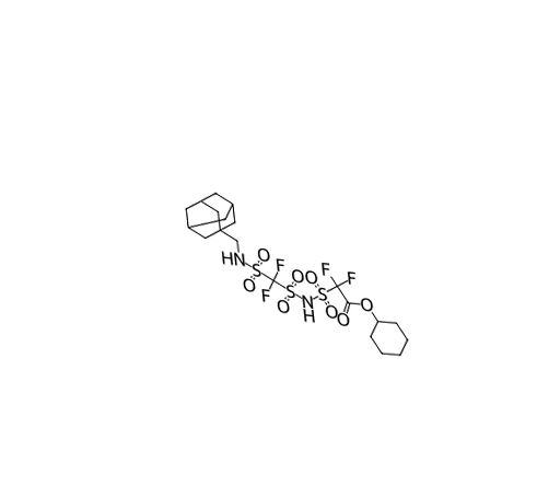 O=C(OC1CCCCC1)C(F)(F)S(=O)(=O)NS(=O)(=O)C(F)(F)S(=O)(=O)NCC12CC3CC(CC(C3)C1)C2